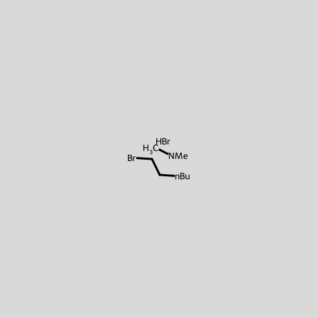 Br.CCCCCCBr.CNC